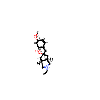 CCN1C[C@@H]2C[C@@](O)(Cc3ccc(OC)cc3)C[C@@H]2C1